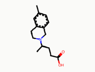 Cc1ccc2c(c1)CCN(C(C)CCC(=O)O)C2